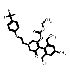 CCOC(=O)OC1=C(c2c(CC)cc(C)cc2CC)C(=O)CC(CCSc2ccc(C(F)(F)F)cc2)C1